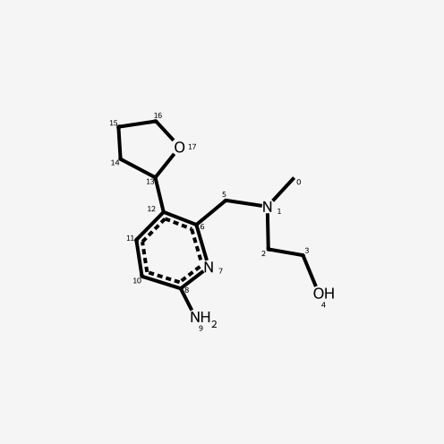 CN(CCO)Cc1nc(N)ccc1C1CCCO1